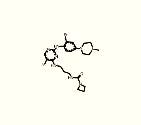 CCc1cc(N2CCN(C)CC2)ccc1Nc1ncc(Br)c(NCCCNC(=O)N2CCC2)n1